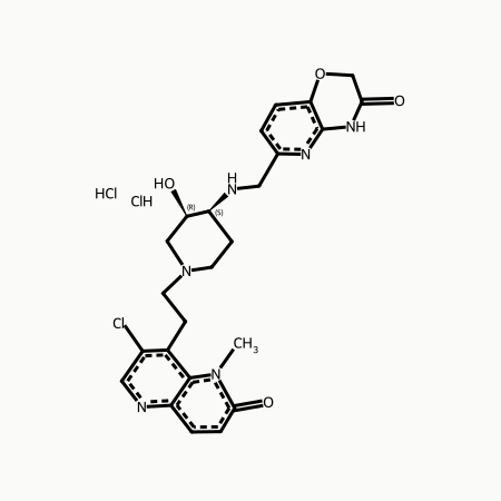 Cl.Cl.Cn1c(=O)ccc2ncc(Cl)c(CCN3CC[C@H](NCc4ccc5c(n4)NC(=O)CO5)[C@H](O)C3)c21